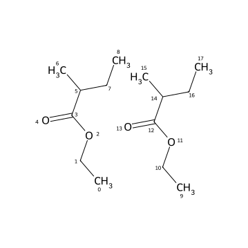 CCOC(=O)C(C)CC.CCOC(=O)C(C)CC